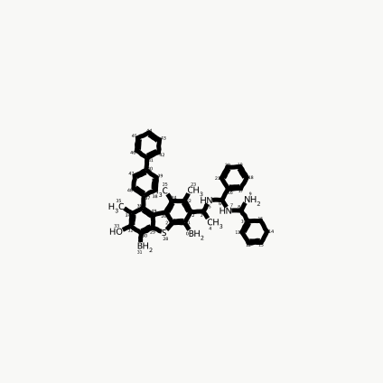 Bc1c(C(C)NC(NC(N)C2=CC=CCC2)c2ccccc2)c(C)c(C)c2c1sc1c(B)c(O)c(C)c(-c3ccc(-c4ccccc4)cc3)c12